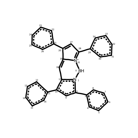 B1n2c(-c3ccccc3)cc(-c3ccccc3)c2C=C2C(c3ccccc3)=CC(c3ccccc3)=[N+]12